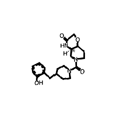 O=C1COC2CCN(C(=O)N3CCC(Cc4ccccc4O)CC3)C[C@H]2N1